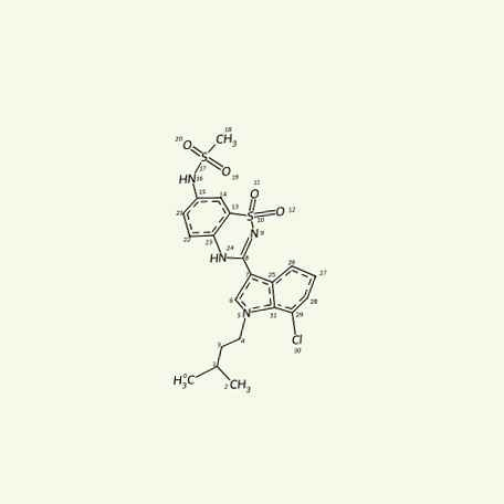 CC(C)CCn1cc(C2=NS(=O)(=O)c3cc(NS(C)(=O)=O)ccc3N2)c2cccc(Cl)c21